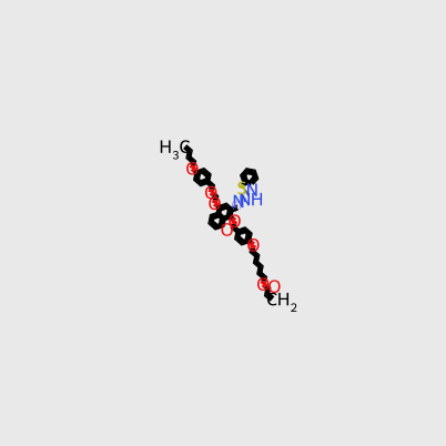 C=CC(=O)OCCCCCCOc1ccc(C(=O)Oc2c(/C=N/Nc3nc4ccccc4s3)cc(OCOCc3ccc(OCCCC)cc3)c3ccccc23)cc1